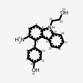 Nc1ccc2c(c1-c1ccc(O)cc1)c1ccccc1n2CCO